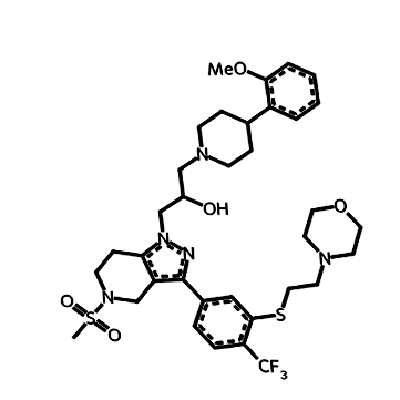 COc1ccccc1C1CCN(CC(O)Cn2nc(-c3ccc(C(F)(F)F)c(SCCN4CCOCC4)c3)c3c2CCN(S(C)(=O)=O)C3)CC1